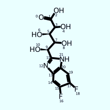 O=C(O)C(O)[C@H](O)C(O)[C@H](O)c1nc2cc(F)c(F)cc2[nH]1